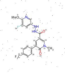 COc1ncc(NNC(=O)c2cc(-c3ccc(C(F)(F)F)cc3)c(=O)n(C)c2)cc1F